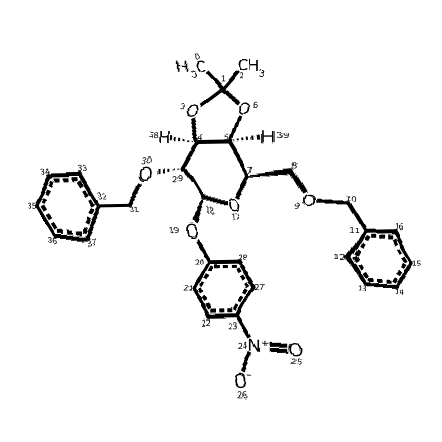 CC1(C)O[C@H]2[C@@H](O1)[C@@H](COCc1ccccc1)O[C@@H](Oc1ccc([N+](=O)[O-])cc1)[C@@H]2OCc1ccccc1